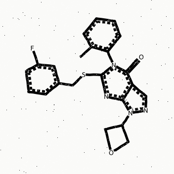 Cc1ccccc1-n1c(SCc2cccc(F)c2)nc2c(cnn2C2COC2)c1=O